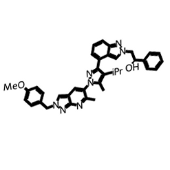 COc1ccc(Cn2cc3cc(-n4nc(-c5cccc6nn(C[C@H](O)c7ccccc7)cc56)c(C(C)C)c4C)c(C)nc3n2)cc1